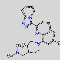 CC(C)(C)N(CC1CCN(c2cc(F)cc3ccc(-c4nnc5ccccn45)nc23)CC1)C(=O)O